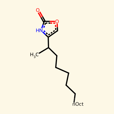 CCCCCCCCCCCCCC(C)c1coc(=O)[nH]1